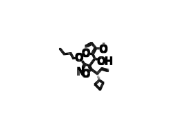 C=C[C@@H](c1onc(OCCCC)c1C(O)c1occc1OC)C1CCC1